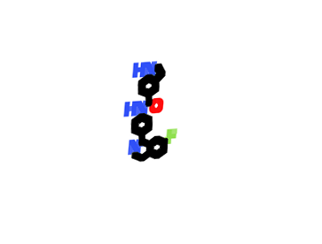 O=C(Nc1ccc(C2=NCCc3ccc(F)cc32)cc1)c1ccc2[nH]ccc2c1